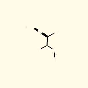 C=C=C(C)C(C)OC